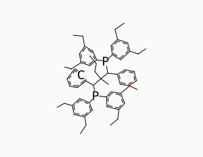 CCCC(C)(C(c1ccccc1)P(c1cc(CC)cc(CC)c1)c1cc(CC)cc(CC)c1)C(c1ccccc1)P(c1cc(CC)cc(CC)c1)c1cc(CC)cc(CC)c1